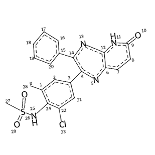 Cc1cc(-c2nc3ccc(=O)[nH]c3nc2-c2ccccc2)cc(Cl)c1NS(C)(=O)=O